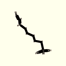 O=[SH](=O)CCCCCN=C=S